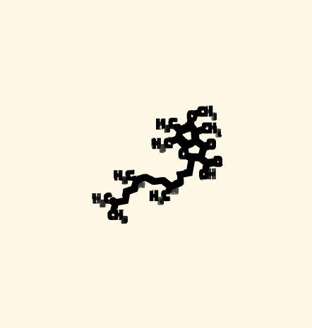 COc1c(C)c(C)c2oc(CCC[C@@H](C)CCC[C@H](C)CCCC(C)C)c(C(=O)O)c(=O)c2c1C